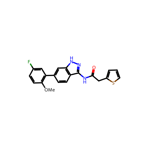 COc1ccc(F)cc1-c1ccc2c(NC(=O)Cc3cccs3)n[nH]c2c1